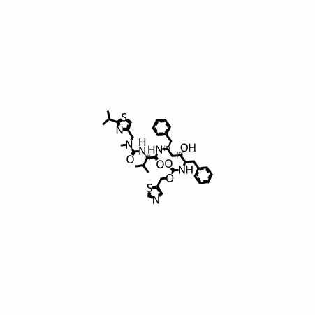 CC(C)c1nc(CN(C)C(=O)N[C@H](C(=O)N[C@@H](Cc2ccccc2)C[C@H](O)C(Cc2ccccc2)NC(=O)OCc2cncs2)C(C)C)cs1